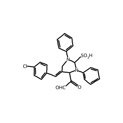 O=CC(=O)C1C(=Cc2ccc(Cl)cc2)CN(c2ccccc2)C(S(=O)(=O)O)N1c1ccccc1